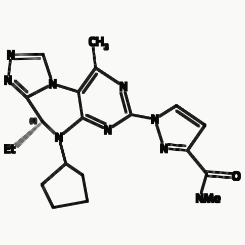 CC[C@@H]1c2nncn2-c2c(C)nc(-n3ccc(C(=O)NC)n3)nc2N1C1CCCC1